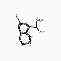 O=C(O)C(C(=O)O)c1cc(F)cc2ccncc12